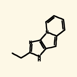 CCc1nc2c(cc3ccccn32)[nH]1